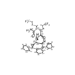 NC(=O)[C@@H](CCCC(F)(F)F)[C@@H](CCC(F)(F)F)C(=O)N[C@H]1N=C(c2ccccc2)c2ccccc2N(c2ccccn2)C1=O